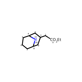 CCOC(=O)CC1CC2CCCC(C1)N2C